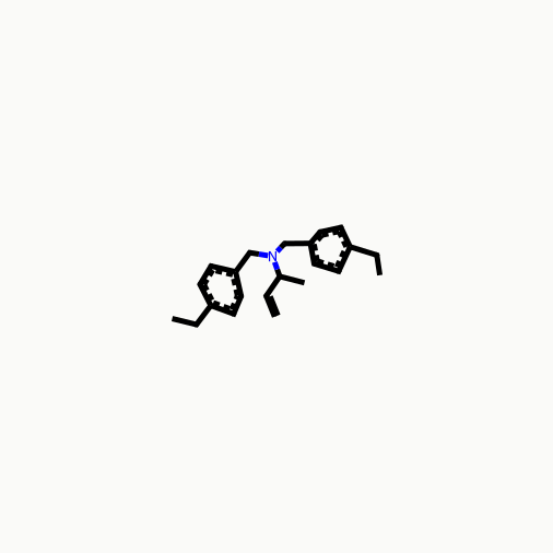 C=CC(C)N(Cc1ccc(CC)cc1)Cc1ccc(CC)cc1